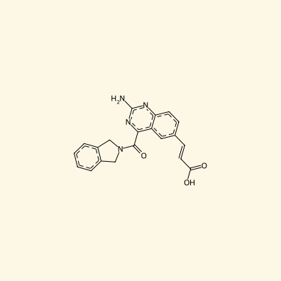 Nc1nc(C(=O)N2Cc3ccccc3C2)c2cc(C=CC(=O)O)ccc2n1